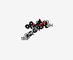 C[C@@H]1CN(C2CCN(c3nc(C(CNC(=O)OCC4c5ccccc5-c5ccccc54)(OC4CC4)c4ccc(F)cc4)c4cc(-c5cn(C)c(=O)c6[nH]ccc56)ccc4n3)CC2)[C@@H](C)CN1C(=O)OC(C)(C)C